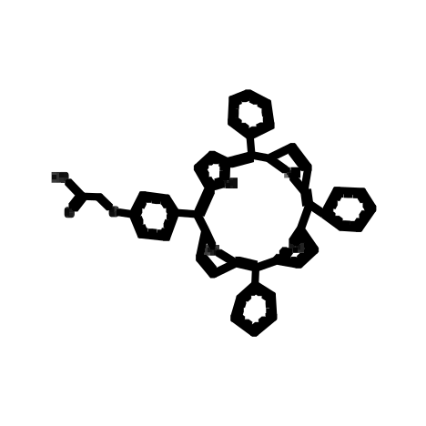 O=C(O)COc1ccc(/C2=c3\cc/c([nH]3)=C(\c3ccccc3)C3C=C/C(=C(\c4ccccc4)c4ccc([nH]4)/C(c4ccccc4)=C4/C=CC2N4)N3)cc1